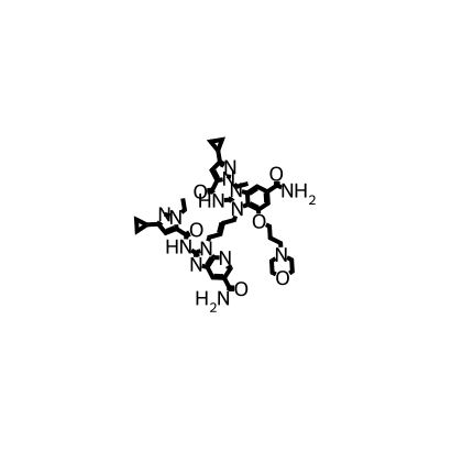 CCn1nc(C2CC2)cc1C(=O)Nc1nc2cc(C(N)=O)cnc2n1CC=CCn1c(NC(=O)c2cc(C3CC3)nn2CC)nc2cc(C(N)=O)cc(OCCCN3CCOCC3)c21